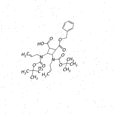 C=CCN(C(=O)OC(C)(C)C)C1C(C(=O)O)C(C(=O)OCc2ccccc2)C1N(CC=C)C(=O)OC(C)(C)C